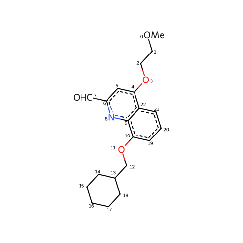 COCCOc1cc(C=O)nc2c(OCC3CCCCC3)cccc12